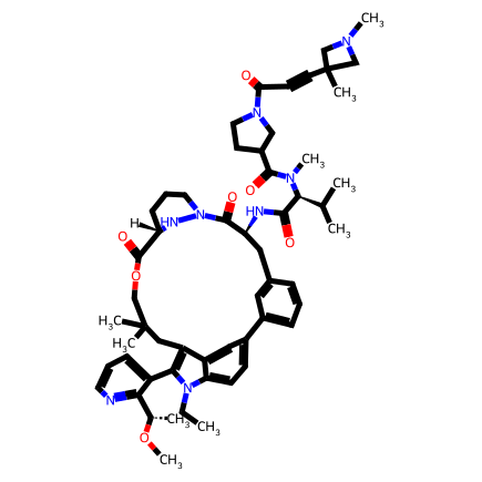 CCn1c(-c2cccnc2[C@H](C)OC)c2c3cc(ccc31)-c1cccc(c1)C[C@H](NC(=O)[C@H](C(C)C)N(C)C(=O)C1CCN(C(=O)C#CC3(C)CN(C)C3)C1)C(=O)N1CCC[C@H](N1)C(=O)OCC(C)(C)C2